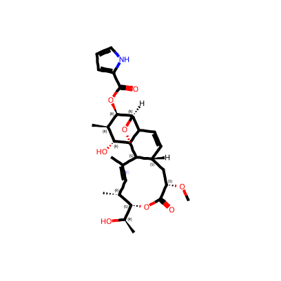 CO[C@H]1C[C@H]2C=CC3C4[C@H](O)[C@@H](C)[C@@H](OC(=O)c5ccc[nH]5)[C@@H]3O[C@]42/C(C)=C/[C@@H](C)[C@@H]([C@@H](C)O)OC1=O